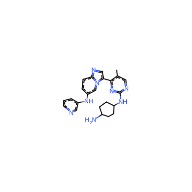 Cc1cnc(NC2CCC(N)CC2)nc1-c1cnc2ccc(Nc3cccnc3)cn12